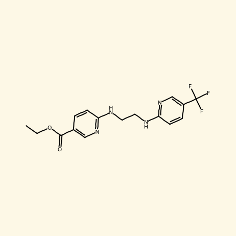 CCOC(=O)c1ccc(NCCNc2ccc(C(F)(F)F)cn2)nc1